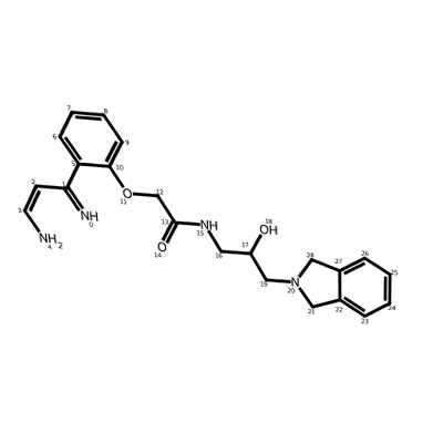 N=C(/C=C\N)c1ccccc1OCC(=O)NCC(O)CN1Cc2ccccc2C1